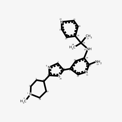 CN1CCC(c2ncc(-c3cnc(N)c(NC(C)(C)c4ccncc4)c3)s2)CC1